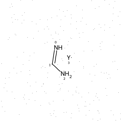 N=CN.[Y]